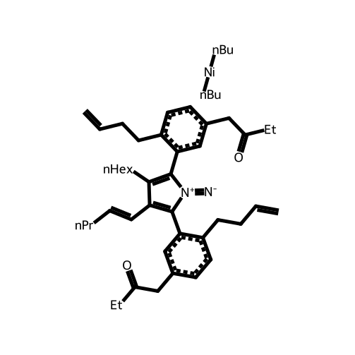 C=CCCc1ccc(CC(=O)CC)cc1C1=C(C=CCCC)C(CCCCCC)=C(c2cc(CC(=O)CC)ccc2CCC=C)[N+]1=[N-].CCC[CH2][Ni][CH2]CCC